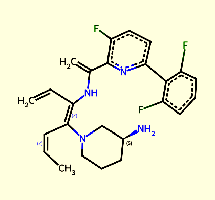 C=C/C(NC(=C)c1nc(-c2c(F)cccc2F)ccc1F)=C(\C=C/C)N1CCC[C@H](N)C1